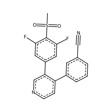 CS(=O)(=O)c1c(F)cc(-c2cnccc2-c2cccc(C#N)c2)cc1F